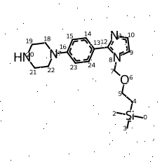 C[Si](C)(C)CCOCn1ccnc1-c1ccc(N2CCNCC2)cc1